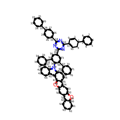 C1=CC(c2ccccc2)CC=C1c1nc(-c2ccc(-c3ccccc3)cc2)nc(-c2cc(-c3ccccc3)c(-n3c4ccccc4c4c5oc6cc7c(cc6c5ccc43)oc3ccccc37)c(-c3ccccc3)c2)n1